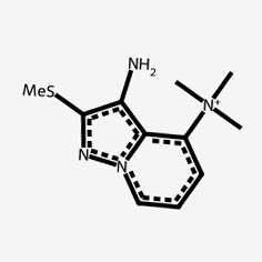 CSc1nn2cccc([N+](C)(C)C)c2c1N